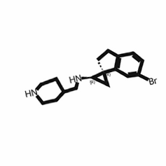 Brc1ccc2c(c1)[C@@]1(CC2)C[C@H]1NCC1CCNCC1